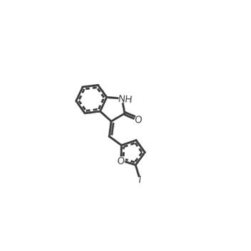 O=C1Nc2ccccc2/C1=C/c1ccc(I)o1